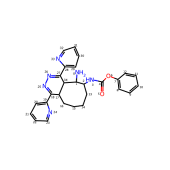 NC1C(NC(=O)Oc2ccccc2)CCCCC2C(c3ccccn3)=NN=C(c3ccccn3)C21